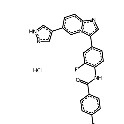 Cl.O=C(Nc1ccc(-c2cnc3ccc(-c4cn[nH]c4)cn23)cc1F)c1ccc(F)cc1